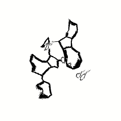 CC1=Cc2c(-c3ccccc3)cccc2[CH]1[Zr+2]1([CH]2c3ccccc3-c3ccccc32)[CH2][CH2]1.[Cl-].[Cl-]